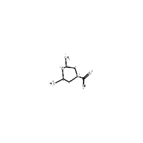 CC1CN(C([NH])=O)CC(C)O1